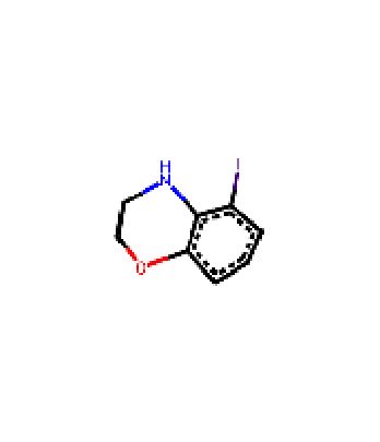 Ic1cccc2c1NCCO2